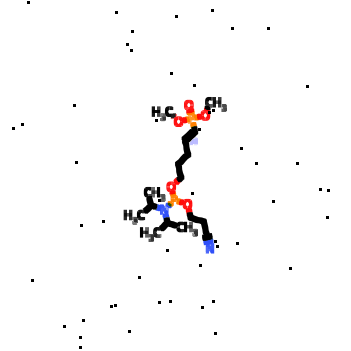 COP(=O)(/C=C/CCCOP(OCCC#N)N(C(C)C)C(C)C)OC